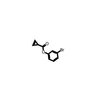 O=C(Oc1cccc(Br)c1)C1C=C1